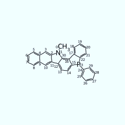 Cn1c2cc3ccccc3cc2c2ccc3c(c4ccccc4p3-c3ccccc3)c21